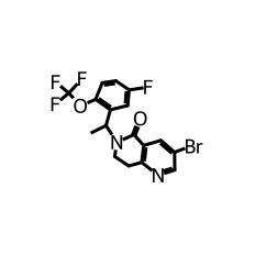 CC(c1cc(F)ccc1OC(F)(F)F)N1CCc2ncc(Br)cc2C1=O